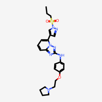 CCCS(=O)(=O)n1cc(-c2cccc3nc(Nc4ccc(OCCN5CCCC5)cc4)nn23)cn1